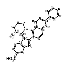 O=C(O)c1ccc2c(c1)nc(-c1ccc3nc(-c4ccccc4)cnc3c1)n2[C@@H]1CCCC[C@H]1O